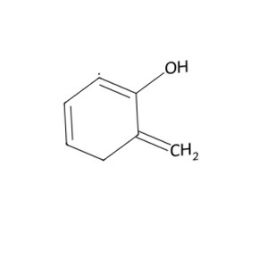 C=C1CC=C[C]=C1O